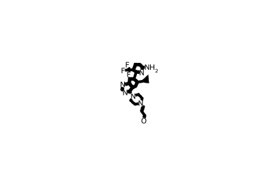 Nc1ccc(C(F)(F)F)c(-c2cc3ncnc(N4CCN(C=CC=O)CC4)c3cc2C2CC2)n1